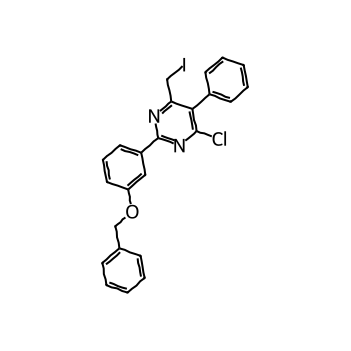 Clc1nc(-c2cccc(OCc3ccccc3)c2)nc(CI)c1-c1ccccc1